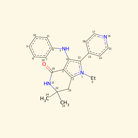 CCn1c2c(c(Nc3ccccc3)c1-c1ccncc1)C(=O)NC(C)(C)C2